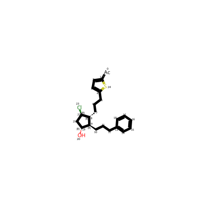 CC(=O)c1ccc(CCC[C@@H]2[C@@H](CCCc3ccccc3)[C@H](O)C[C@H]2Cl)s1